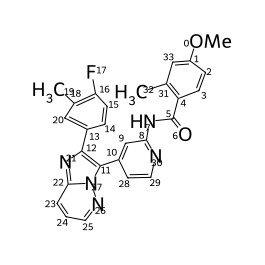 COc1ccc(C(=O)Nc2cc(-c3c(-c4ccc(F)c(C)c4)nc4cccnn34)ccn2)c(C)c1